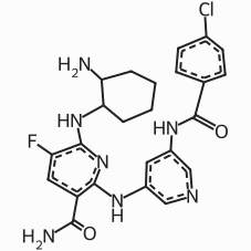 NC(=O)c1cc(F)c(NC2CCCCC2N)nc1Nc1cncc(NC(=O)c2ccc(Cl)cc2)c1